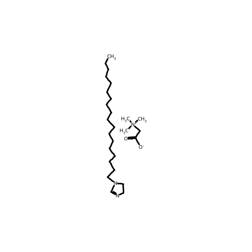 CCCCCCCCCCCCCCCCCCN1C=NCC1.C[N+](C)(C)CC(=O)[O-]